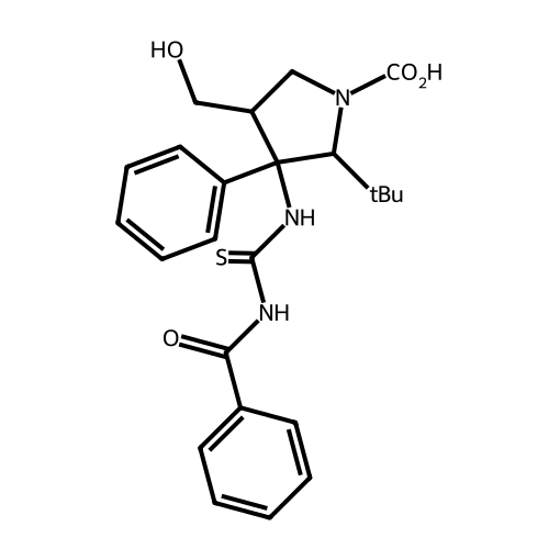 CC(C)(C)C1N(C(=O)O)CC(CO)C1(NC(=S)NC(=O)c1ccccc1)c1ccccc1